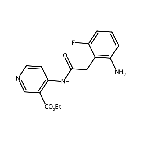 CCOC(=O)c1cnccc1NC(=O)Cc1c(N)cccc1F